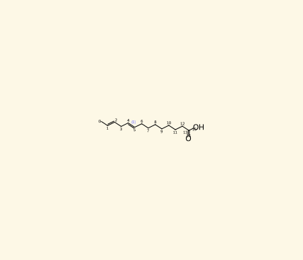 CC=CC/C=C/CCCCCCCC(=O)O